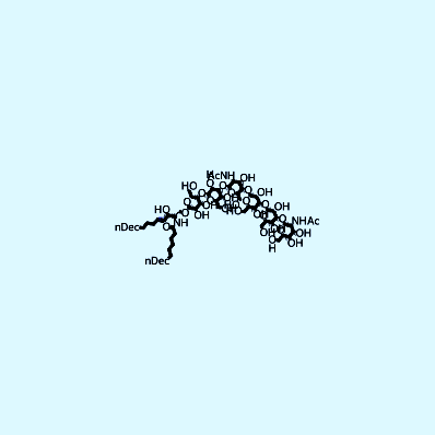 CCCCCCCCCCCCC/C=C/[C@@H](O)[C@H](CO[C@@H]1OC(CO)[C@@H](O[C@@H]2OC(CO)[C@H](O)[C@H](O[C@@H]3OC(CO)[C@@H](O[C@@H]4OC(CO)[C@H](O)[C@H](O[C@H]5OC(CO)[C@H](O)[C@H](O[C@@H]6OC(CO)[C@H](O)[C@H](O)C6NC(C)=O)C5O)C4O)[C@H](O)C3NC(C)=O)C2O)[C@H](O)C1O)NC(=O)CCCCCCCCCCCCCCC